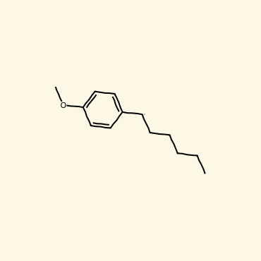 CCCCC[CH]c1ccc(OC)cc1